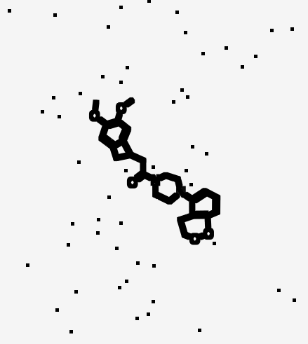 COc1cc2c(cc1OC)C(CC(=O)N1CCN(c3cccc4c3CCOO4)CC1)C2